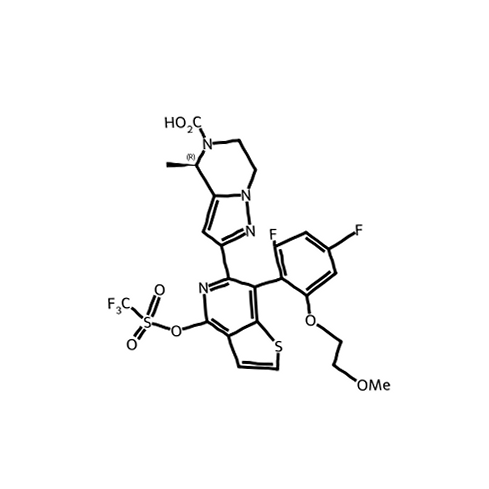 COCCOc1cc(F)cc(F)c1-c1c(-c2cc3n(n2)CCN(C(=O)O)[C@@H]3C)nc(OS(=O)(=O)C(F)(F)F)c2ccsc12